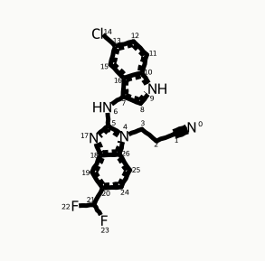 N#CCCn1c(Nc2c[nH]c3ccc(Cl)cc23)nc2cc(C(F)F)ccc21